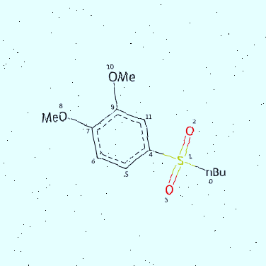 CCCCS(=O)(=O)c1ccc(OC)c(OC)c1